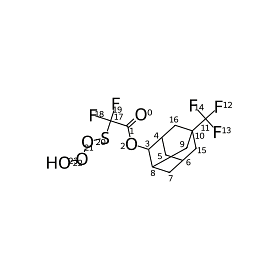 O=C(OC1C2CC3CC1CC(C(F)(F)F)(C3)C2)C(F)(F)SOOO